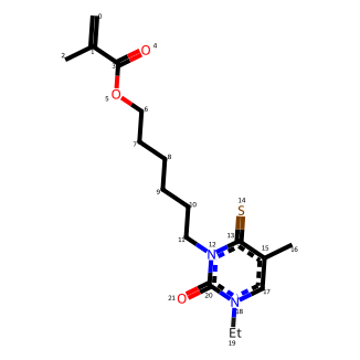 C=C(C)C(=O)OCCCCCCn1c(=S)c(C)cn(CC)c1=O